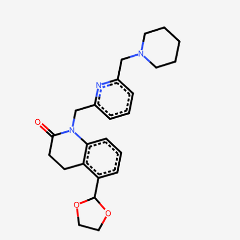 O=C1CCc2c(C3OCCO3)cccc2N1Cc1cccc(CN2CCCCC2)n1